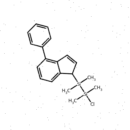 C[Si](C)(Cl)[Si](C)(C)C1C=Cc2c(-c3ccccc3)cccc21